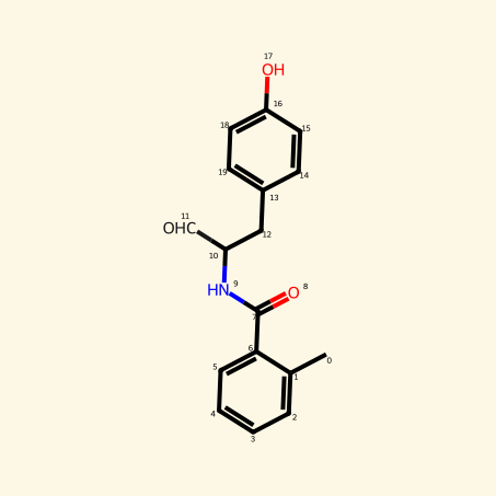 Cc1ccccc1C(=O)NC(C=O)Cc1ccc(O)cc1